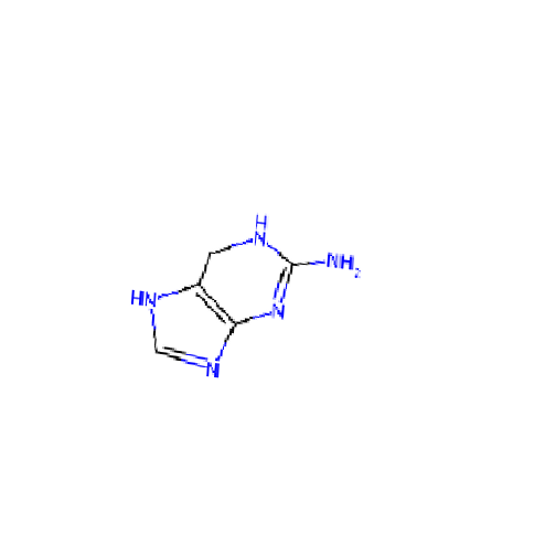 NC1=Nc2nc[nH]c2CN1